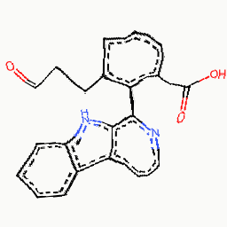 O=CC[CH]c1cccc(C(=O)O)c1-c1nccc2c1[nH]c1ccccc12